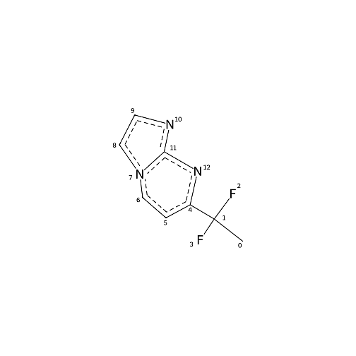 CC(F)(F)c1ccn2ccnc2n1